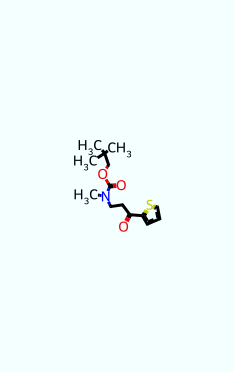 CN(CCC(=O)c1cccs1)C(=O)OCC(C)(C)C